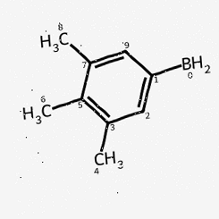 Bc1cc(C)c(C)c(C)c1